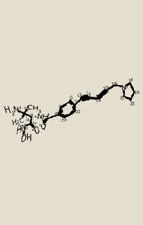 CC(C)(N)[C@H](NC(=O)c1ccc(C#CC#CCN2CCCC2)cc1)C(=O)NO